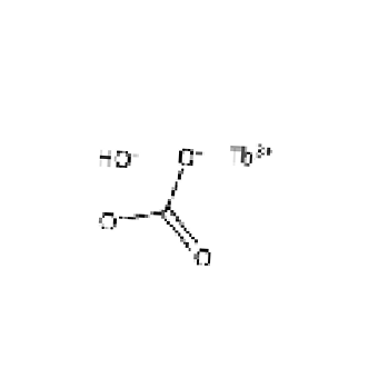 O=C([O-])[O-].[OH-].[Tb+3]